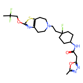 Cc1nnc(CC(=O)NC2CCC(F)(CCN3CCc4nc(OCC(C)(F)F)sc4CC3)CC2)o1